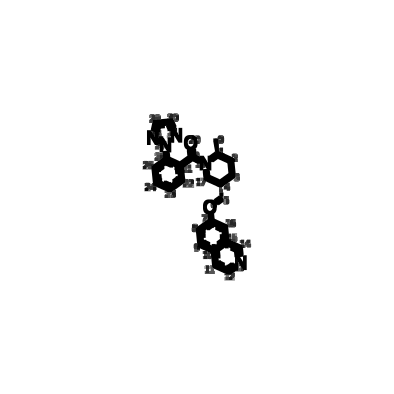 C[C@H]1CC[C@H](COc2ccc3ccncc3c2)CN1C(=O)c1ccccc1-n1nccn1